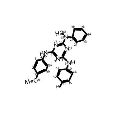 COc1ccc(Nc2nc(Nc3ccc(C)cc3)nc(N(O)c3ccccc3)n2)cc1